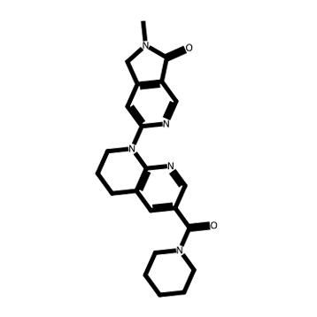 CN1Cc2cc(N3CCCc4cc(C(=O)N5CCCCC5)cnc43)ncc2C1=O